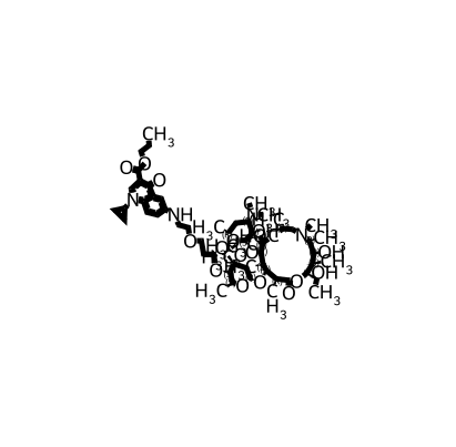 CCCOC(=O)c1cn(C2CC2)c2ccc(NCCOCCC(=O)O[C@H]3[C@H](C)O[C@@H](O[C@H]4[C@H](C)[C@@H](O[C@@H]5O[C@H](C)C[C@H](N(C)C)[C@@H]5O)[C@](C)(O)C[C@@H](C)CN(C)[C@H](C)[C@@H](O)[C@](C)(O)[C@@H](CC)OC(=O)[C@@H]4C)C[C@@]3(C)OC)cc2c1=O